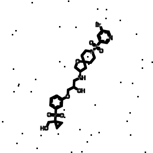 O=S(=O)(c1cncc(Br)c1)N1CCC2(CC1)C[C@@H](NCC(O)COc1cccc(S(=O)(=O)C3(CO)CC3)c1)CO2